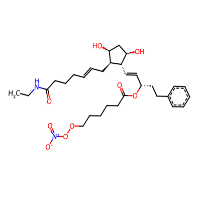 CCNC(=O)CCC/C=C/C[C@@H]1[C@@H](/C=C/[C@H](CCc2ccccc2)OC(=O)CCCCCOO[N+](=O)[O-])[C@H](O)C[C@@H]1O